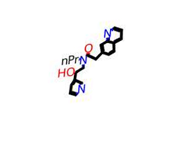 CCCN(CC(O)c1cccnc1)C(=O)Cc1ccc2cccnc2c1